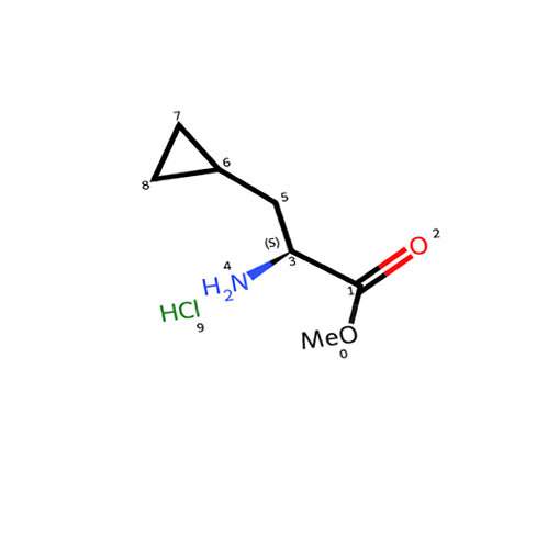 COC(=O)[C@@H](N)CC1CC1.Cl